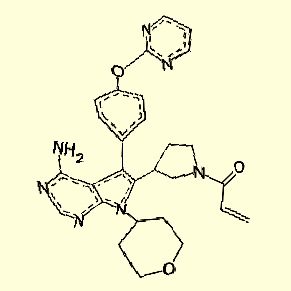 C=CC(=O)N1CCC(c2c(-c3ccc(Oc4ncccn4)cc3)c3c(N)ncnc3n2C2CCOCC2)C1